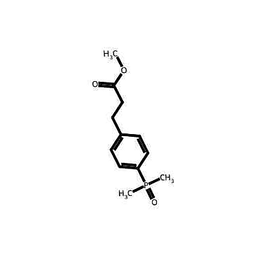 COC(=O)CCc1ccc(P(C)(C)=O)cc1